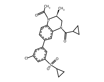 CC(=O)N1c2ccc(-c3cc(Cl)cc(S(=O)(=O)C4CC4)c3)cc2N(C(=O)C2CC2)C[C@@H]1C